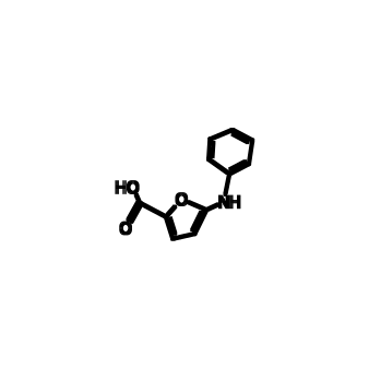 O=C(O)c1ccc(Nc2ccccc2)o1